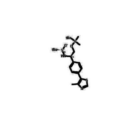 Cc1ncsc1-c1ccc([C@H](CO[Si](C)(C)C(C)(C)C)N[S@@+]([O-])C(C)(C)C)cc1